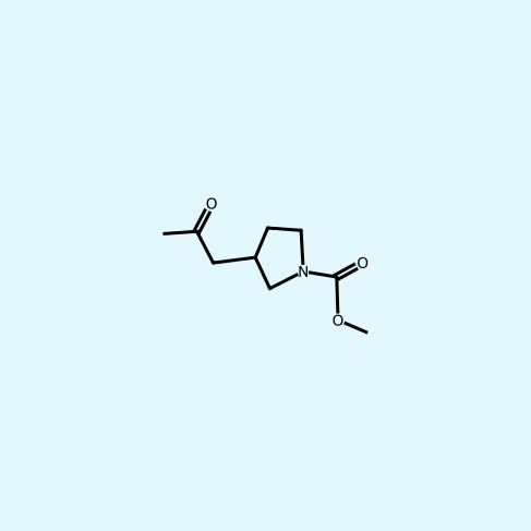 COC(=O)N1CCC(CC(C)=O)C1